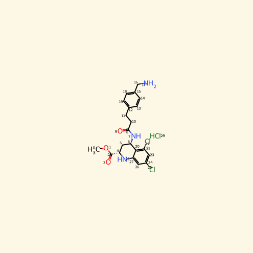 COC(=O)[C@@H]1C[C@@H](NC(=O)CCc2ccc(CN)cc2)c2c(Cl)cc(Cl)cc2N1.Cl